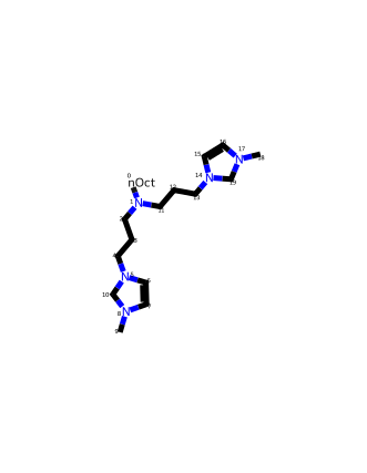 CCCCCCCCN(CCCN1C=CN(C)C1)CCCN1C=CN(C)C1